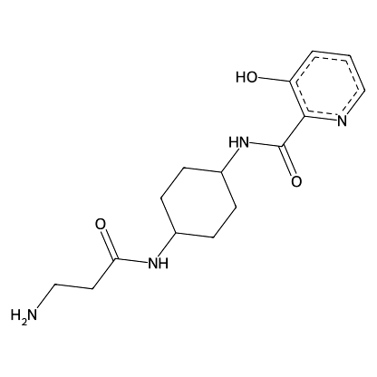 NCCC(=O)NC1CCC(NC(=O)c2ncccc2O)CC1